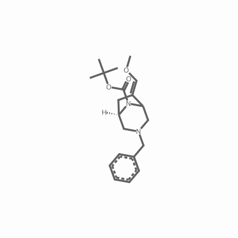 CO/C=C1\C[C@@H]2CN(Cc3ccccc3)CC1N2C(=O)OC(C)(C)C